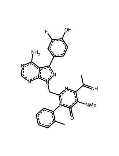 CNc1c(C(C)=N)nc(Cn2nc(-c3ccc(O)c(F)c3)c3c(N)ncnc32)n(-c2ccccc2C)c1=O